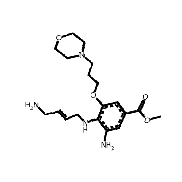 COC(=O)c1cc(N)c(NC/C=C/CN)c(OCCCN2CCOCC2)c1